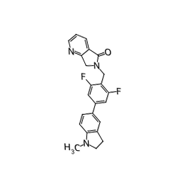 CN1CCc2cc(-c3cc(F)c(CN4Cc5ncccc5C4=O)c(F)c3)ccc21